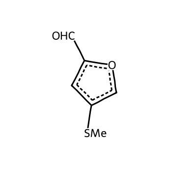 CSc1coc(C=O)c1